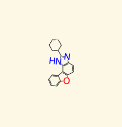 c1ccc2c(c1)oc1ccc3nc(C4CCCCC4)[nH]c3c12